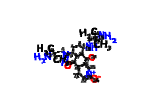 CC(C)(N)CNc1ccc(NCC(C)(C)N)c2c1C(=O)c1cc[n+]([O-])cc1C2=O